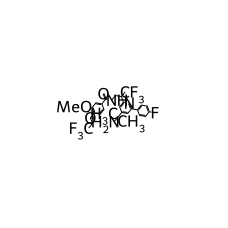 COc1cc(C(=O)NCC(c2cc(C(C)(C)N)cc(-c3ccc(F)cc3)n2)C(F)(F)F)ccc1OCC(F)(F)F